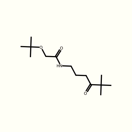 CC(C)(C)OCC(=O)NCCCC(=O)C(C)(C)C